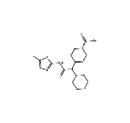 Cc1cnc(NC(=O)N(C2CCCCC2)C2CCC(C(=O)O)CC2)s1